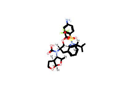 [2H]C1O[C@@]2([2H])OCC[C@H]2[C@H]1N(C(=O)O)[C@@]([2H])(Cc1ccccc1)[C@@H](CN(C([2H])([2H])C(C)C)S(=O)(=O)c1ccc(N)cc1)OC(=O)C(F)(F)F